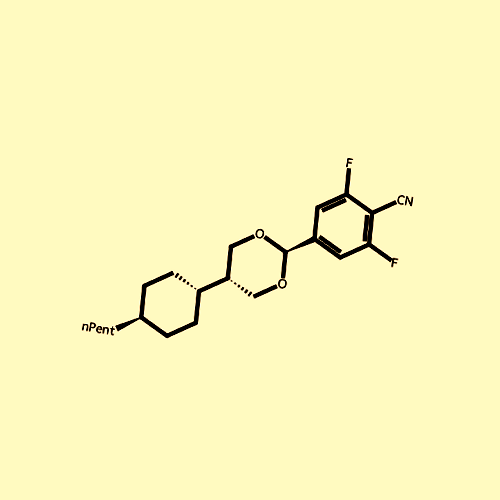 CCCCC[C@H]1CC[C@H]([C@H]2CO[C@H](c3cc(F)c(C#N)c(F)c3)OC2)CC1